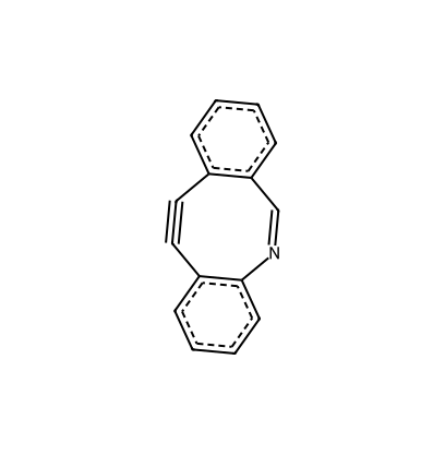 C1#Cc2ccccc2N=Cc2ccccc21